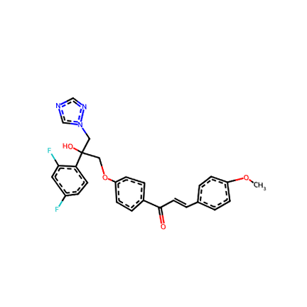 COc1ccc(C=CC(=O)c2ccc(OCC(O)(Cn3cncn3)c3ccc(F)cc3F)cc2)cc1